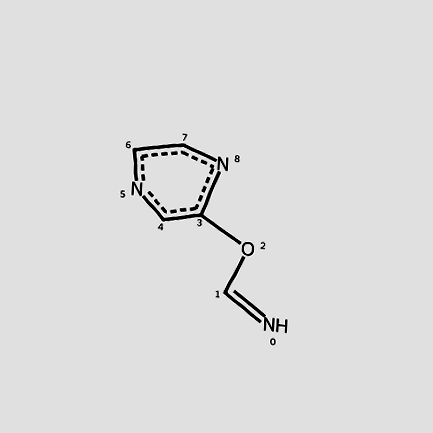 N=COc1cnccn1